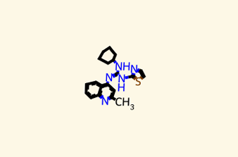 Cc1cc(/N=C(\Nc2nccs2)NC2CCCCC2)c2ccccc2n1